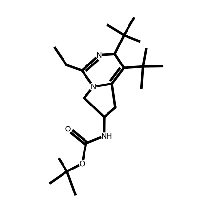 CCC1=NC(C(C)(C)C)C(C(C)(C)C)=C2CC(NC(=O)OC(C)(C)C)CN12